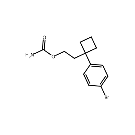 NC(=O)OCCC1(c2ccc(Br)cc2)CCC1